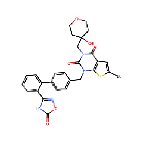 CCc1cc2c(=O)n(CC3(O)CCOCC3)c(=O)n(Cc3ccc(-c4ccccc4-c4noc(=O)[nH]4)cc3)c2s1